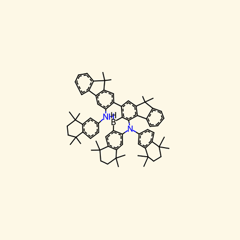 CC1(C)CCC(C)(C)c2cc(Nc3cc4c(cc3-c3cc5c(c6c3Bc3cc7c(cc3N6c3ccc6c(c3)C(C)(C)CCC6(C)C)C(C)(C)CCC7(C)C)-c3ccccc3C5(C)C)C(C)(C)c3ccccc3-4)ccc21